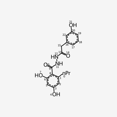 CCCc1cc(O)cc(O)c1C(=O)NNC(=O)Cc1cccc(O)c1